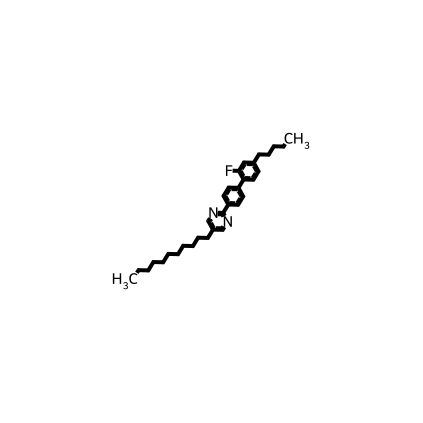 CCCCCCCCCCCc1cnc(-c2ccc(-c3ccc(CCCCC)cc3F)cc2)nc1